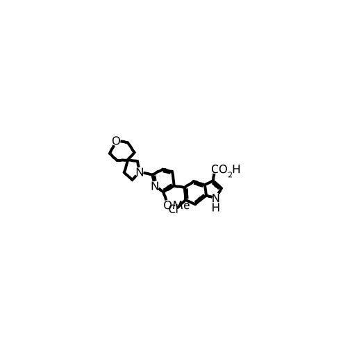 COc1nc(N2CCC3(CCOCC3)C2)ccc1-c1cc2c(C(=O)O)c[nH]c2cc1Cl